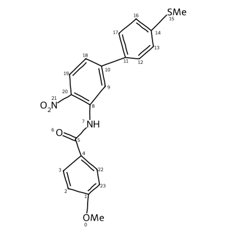 COc1ccc(C(=O)Nc2cc(-c3ccc(SC)cc3)ccc2[N+](=O)[O-])cc1